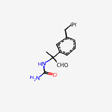 CC(C)Cc1cccc(C(C)(C=O)NC(N)=O)c1